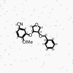 COc1ccc(C#N)cc1OC1COCC1OCc1ccccc1